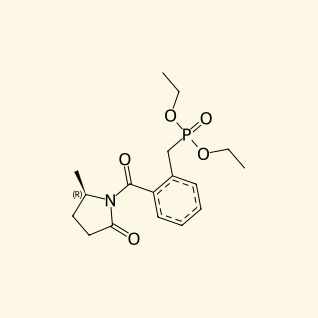 CCOP(=O)(Cc1ccccc1C(=O)N1C(=O)CC[C@H]1C)OCC